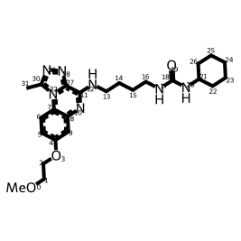 COCCOc1ccc2c(c1)nc(NCCCCNC(=O)NC1CCCCC1)c1nnc(C)n12